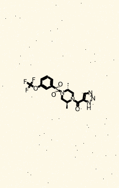 C[C@@H]1CN(C(=O)c2cnn[nH]2)[C@@H](C)CN1S(=O)(=O)c1cccc(OC(F)(F)F)c1